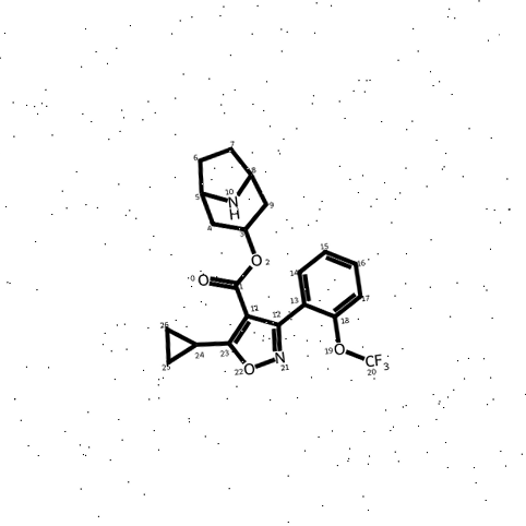 O=C(OC1CC2CCC(C1)N2)c1c(-c2ccccc2OC(F)(F)F)noc1C1CC1